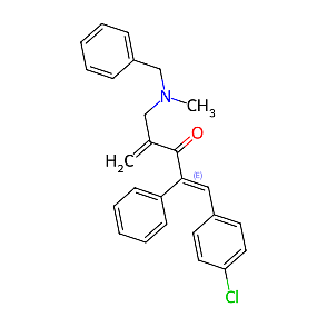 C=C(CN(C)Cc1ccccc1)C(=O)/C(=C/c1ccc(Cl)cc1)c1ccccc1